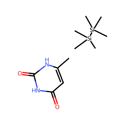 C[Si](C)(C)[Si](C)(C)C.Cc1cc(=O)[nH]c(=O)[nH]1